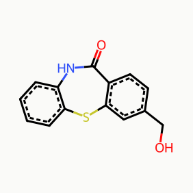 O=C1Nc2ccccc2Sc2cc(CO)ccc21